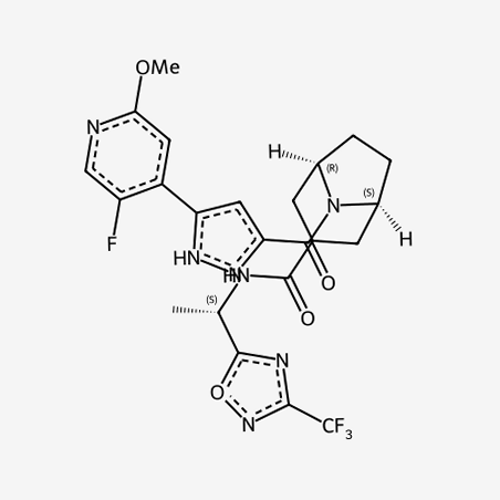 COc1cc(-c2cc(C(=O)N3[C@@H]4CC[C@H]3CC(C(=O)N[C@@H](C)c3nc(C(F)(F)F)no3)C4)n[nH]2)c(F)cn1